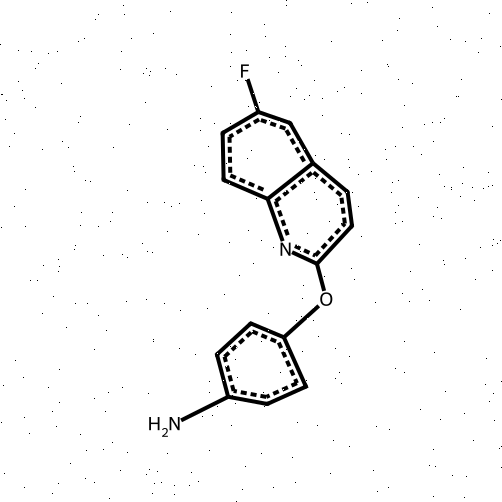 Nc1ccc(Oc2ccc3cc(F)ccc3n2)cc1